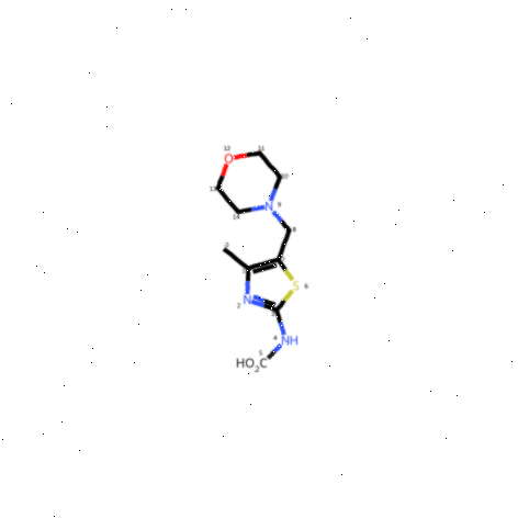 Cc1nc(NC(=O)O)sc1CN1CCOCC1